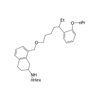 CCCCCCNC1CCc2cccc(COCCCCC(CC)c3ccccc3OCCC)c2C1